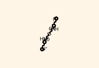 C[n+]1ccccc1/C=C/c1ccc(NC(=O)CCSSCCC(=O)Nc2ccc(/C=C/c3cccc[n+]3C)cc2)cc1